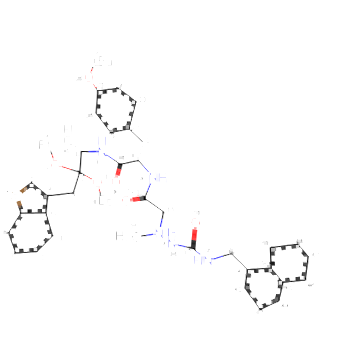 CCOC(Cc1csc2ccccc12)(OCC)[C@H](C)NC(=O)[C@H](Cc1ccc(OC(C)(C)C)cc1)NC(=O)CN(C)NC(=O)NCc1cccc2ccccc12